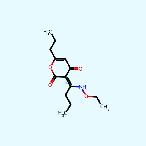 CCCC1=CC(=O)/C(=C(/CCC)NOCC)C(=O)O1